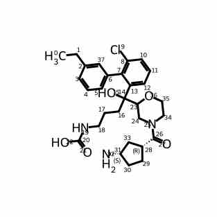 CCc1cccc(-c2c(Cl)cccc2C(O)(CCCNC(=O)O)C2CN(C(=O)[C@@H]3CC[C@H](N)C3)CCO2)c1